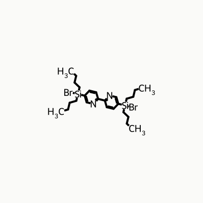 CCCC[Si](Br)(CCCC)c1ccc(-c2ccc([Si](Br)(CCCC)CCCC)cn2)nc1